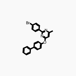 Cc1cc(Oc2ccc(-c3ccccc3)cc2)nc(-c2ccc(Br)cc2)n1